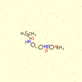 COc1ccc(C(=O)Nc2ccc(Cc3ccc(NC(=O)C4CC4(C)C)cc3)cc2)cc1